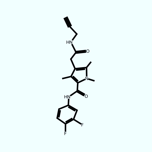 C#CCNC(=O)Cc1c(C)c(C(=O)Nc2ccc(F)c(F)c2)n(C)c1C